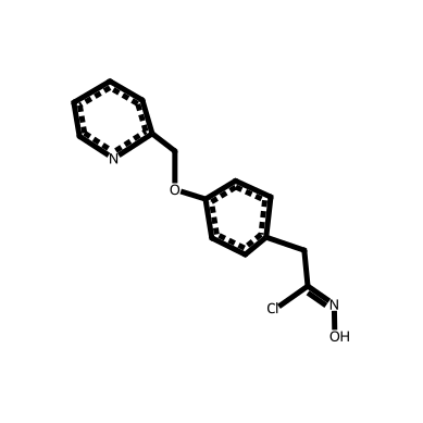 ON=C(Cl)Cc1ccc(OCc2ccccn2)cc1